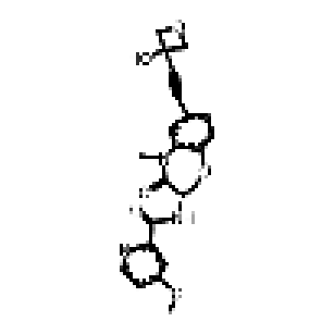 COc1ccnc(C(=O)N[C@@H]2COc3ccc(C#CC4(O)COC4)cc3N(C)C2=O)c1